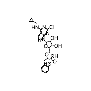 O=P(O)(O)C(Cc1ccccc1)OC[C@H]1O[C@@H](n2ncc3c(NCC4CC4)nc(Cl)nc32)[C@H](O)[C@@H]1O